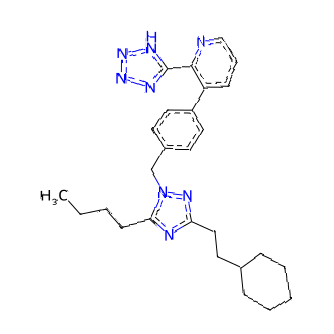 CCCCc1nc(CCC2CCCCC2)nn1Cc1ccc(-c2cccnc2-c2nnn[nH]2)cc1